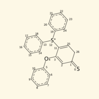 S=C1C=C(Oc2ccccc2)C([S+](c2ccccc2)c2ccccc2)=CC1